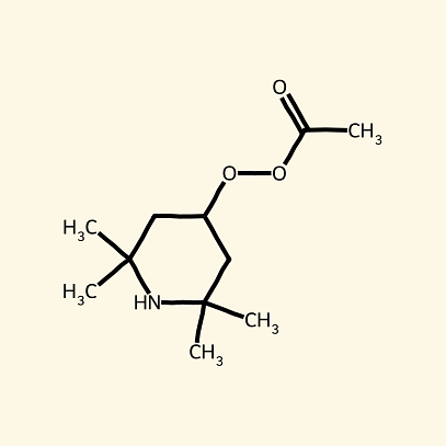 CC(=O)OOC1CC(C)(C)NC(C)(C)C1